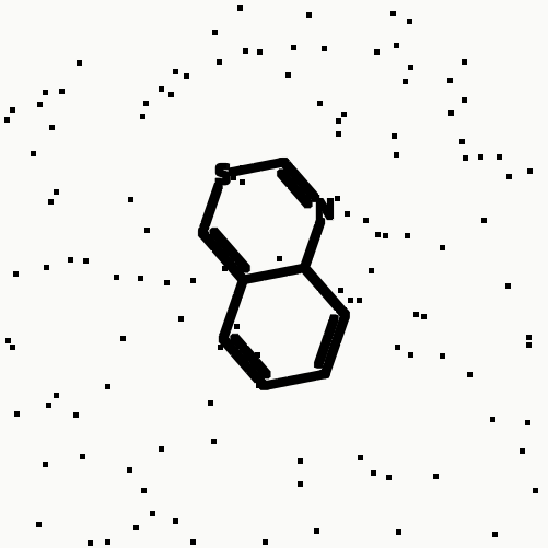 C1=CC2=CSC=NC2C=C1